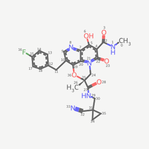 CNC(=O)c1c(O)c2ncc(Cc3ccc(F)cc3)c3c2n(c1=O)C[C@](C)(C(=O)NCC1(C#N)CC1)O3